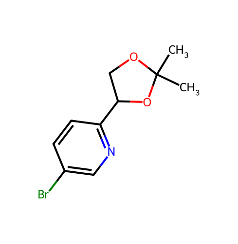 CC1(C)OCC(c2ccc(Br)cn2)O1